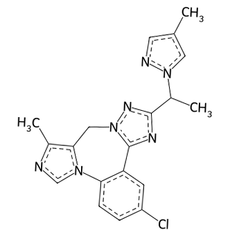 Cc1cnn(C(C)c2nc3n(n2)Cc2c(C)ncn2-c2ccc(Cl)cc2-3)c1